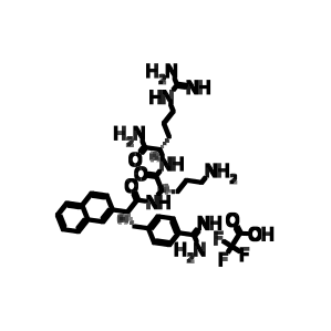 N=C(N)NCCC[C@H](NC(=O)[C@H](CCCN)NC(=O)[C@H](Cc1ccc(C(=N)N)cc1)c1ccc2ccccc2c1)C(N)=O.O=C(O)C(F)(F)F